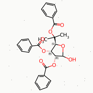 CC(C)(OC(=O)c1ccccc1)[C@H]1OC(O)[C@H](OC(=O)c2ccccc2)[C@@H]1OC(=O)c1ccccc1